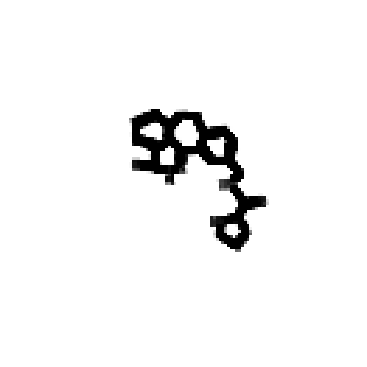 O=C(NCc1ccc2c(c1)-c1n[nH]c(=O)c3cccc(c13)CC2)C1CCCN1